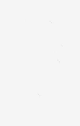 CC(C)(C)OC(=O)N1C(=O)CCC(N2CCN(c3ccc(N=C(c4ccccc4)c4ccccc4)cc3)C2=O)C1=O